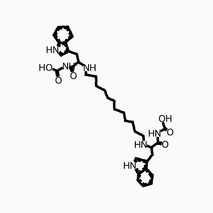 O=C(O)NC(=O)C(Cc1c[nH]c2ccccc12)NCCCCCCCCCCCCNC(Cc1c[nH]c2ccccc12)C(=O)NC(=O)O